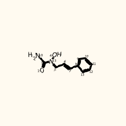 NC(=O)N(O)CC=Cc1ccccc1